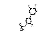 O=C(O)Cn1ccc(-c2ccc(F)c(F)c2)cc1=O